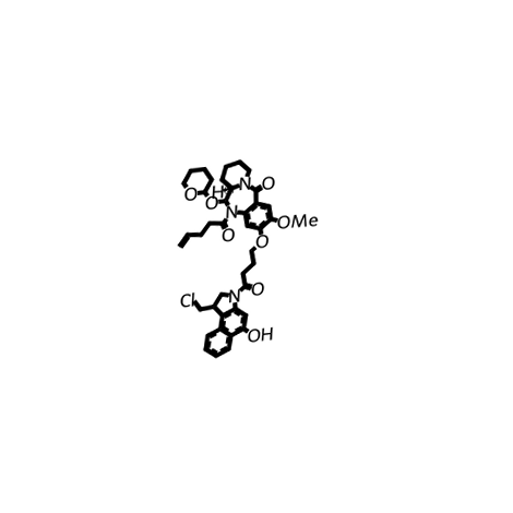 C=CCCC(=O)N1c2cc(OCCCC(=O)N3CC(CCl)c4c3cc(O)c3ccccc43)c(OC)cc2C(=O)N2CCCC[C@H]2C1OC1CCCCO1